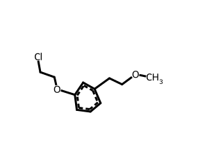 COCCc1cccc(OCCCl)c1